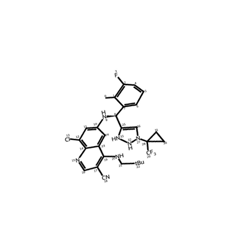 Cc1c(F)cccc1[C@H](Nc1cc(Cl)c2ncc(C#N)c(NCC(C)(C)C)c2c1)C1=CN(C2(C(F)(F)F)CC2)NN1